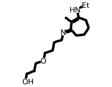 CCNC1=C(C)/C(=N/CCCCOCCCO)CCCC1